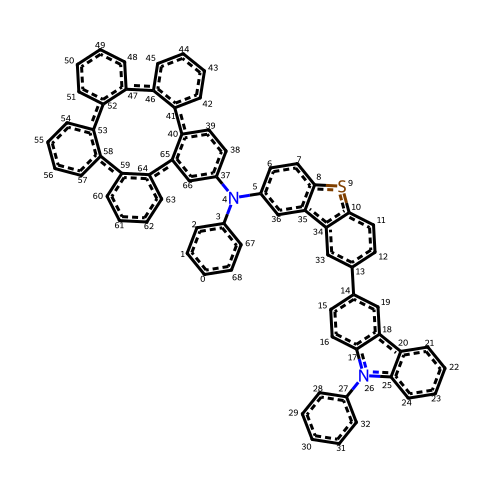 c1ccc(N(c2ccc3sc4ccc(-c5ccc6c(c5)c5ccccc5n6-c5ccccc5)cc4c3c2)c2ccc3c4ccccc4c4ccccc4c4ccccc4c4ccccc4c3c2)cc1